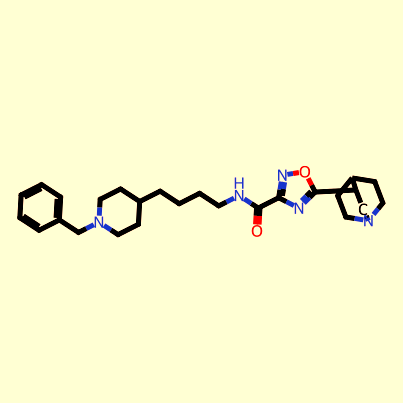 O=C(NCCCCC1CCN(Cc2ccccc2)CC1)c1noc(C2CN3CCC2CC3)n1